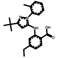 CCc1ccc(C(=O)O)c(Nc2cc(C(C)(C)C)nn2-c2ccccc2C)c1